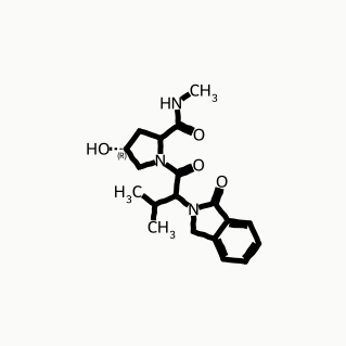 CNC(=O)C1C[C@@H](O)CN1C(=O)C(C(C)C)N1Cc2ccccc2C1=O